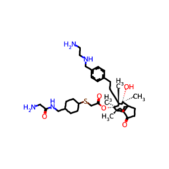 C[C@@H]1CC[C@@]23CCC(=O)C2[C@]1(C)[C@H](OC(=O)CSC1CCC(CNC(=O)CN)CC1)C[C@](C)(CCc1ccc(CNCCN)cc1)[C@@H](O)[C@@H]3C